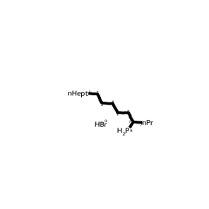 Br.CCCCCCCCCCCCC(P)CCC